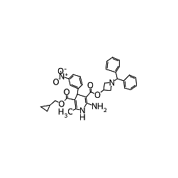 CC1=C(C(=O)OCC2CC2)C(c2cccc([N+](=O)[O-])c2)C(C(=O)OC2CN(C(c3ccccc3)c3ccccc3)C2)=C(N)N1